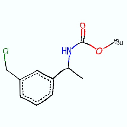 CC(NC(=O)OC(C)(C)C)c1cccc(CCl)c1